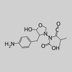 CC(C)C(=C=O)N(C(=O)O)N1COC(O)C1Cc1ccc(N)cc1